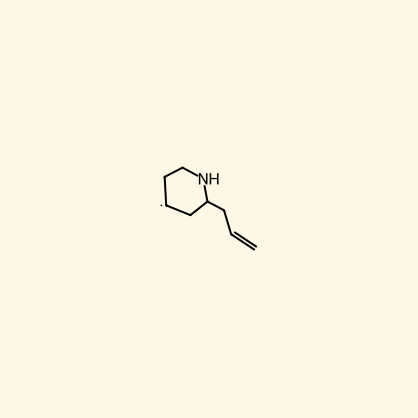 C=CCC1C[CH]CCN1